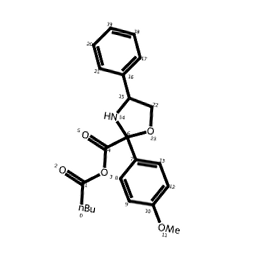 CCCCC(=O)OC(=O)C1(c2ccc(OC)cc2)NC(c2ccccc2)CO1